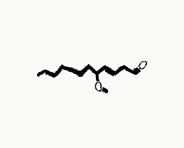 CCCCCCC(C=CCC=O)OC